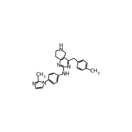 Cc1ccc(Cc2nc(Nc3ccc(-n4ccnc4C)cc3)nc3c2CNCC3)cc1